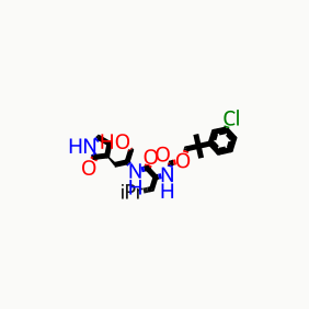 CC(C)CC(NC(=O)OCC(C)(C)c1cccc(Cl)c1)C(=O)NC(CO)C[C@@H]1CCNC1=O